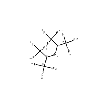 FC(F)(F)C([N]C(C(F)(F)F)C(F)(F)F)C(F)(F)F